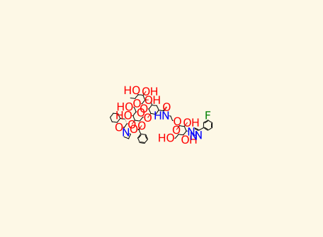 CC1CC(C(=O)NCCO[C@H]2OC(CO)[C@@H](O)C(n3cc(-c4cccc(F)c4)nn3)C2O)C[C@@H](O[C@@H]2OC(CO)[C@H](O)C(O[C@@H](CC3CCCCC3)C(=O)N3CCC3)C2OC(=O)c2ccccc2)C1O[C@@H]1OC(C)[C@@H](O)C(O)C1O